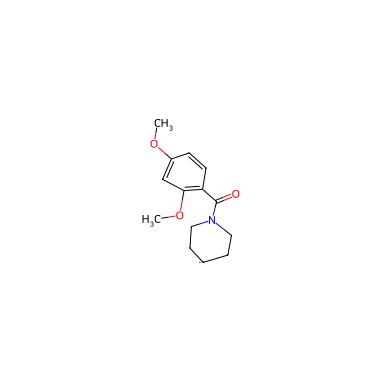 COc1ccc(C(=O)N2CC[CH]CC2)c(OC)c1